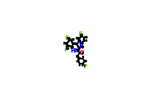 O=C(Cc1ccc(F)cc1)Nc1nc2ccc(F)cn2c1-c1cc(F)cc(F)c1